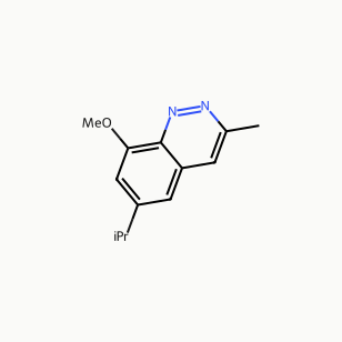 COc1cc(C(C)C)cc2cc(C)nnc12